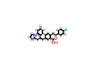 O=C(O)c1cc(C=C(Cc2ncc[nH]2)c2ccc(F)cc2)ccc1CCc1ccc(F)cc1